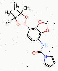 CC1(C)OB(c2ccc(NC(=O)n3cccc3)c3c2OCO3)OC1(C)C